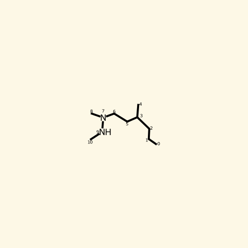 CCCC(C)CCN(C)NC